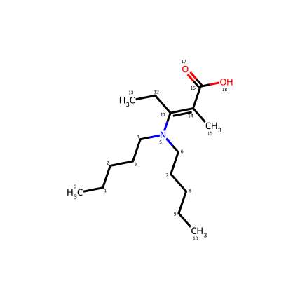 CCCCCN(CCCCC)/C(CC)=C(\C)C(=O)O